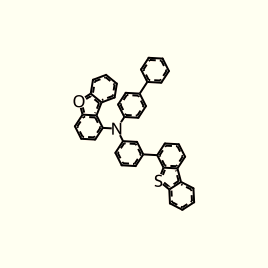 c1ccc(-c2ccc(N(c3cccc(-c4cccc5c4sc4ccccc45)c3)c3cccc4oc5ccccc5c34)cc2)cc1